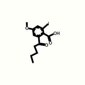 CCCCC(=O)c1cc(OC)cc(I)c1C(=O)O